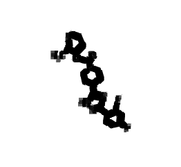 Cc1ncccc1OC(=O)N1CCC(c2nc(-c3ccc(F)cc3F)n[nH]2)CC1